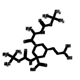 CC(NC(=O)OC(C)(C)C)C(=O)N1C[C@@H](CCB(O)O)C[C@](NC(=O)OC(C)(C)C)(C(=O)O)C1